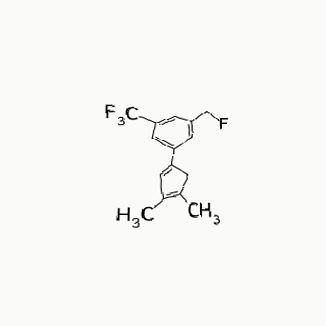 CC1=C(C)CC(c2cc(CF)cc(C(F)(F)F)c2)=C1